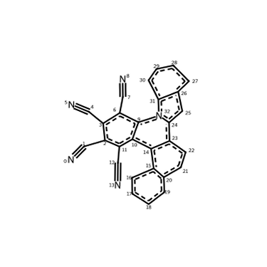 N#Cc1c(C#N)c(C#N)c2c(c1C#N)c1c3ccccc3ccc1c1cc3ccccc3n12